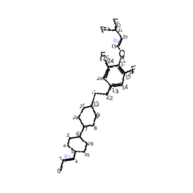 C/C=C/C1CCC(C2CCC(CCc3cc(F)c(O/C=C/C(F)F)c(F)c3)CC2)CC1